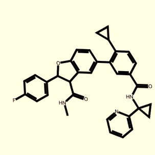 CNC(=O)C1c2cc(-c3cc(C(=O)NC4(c5ccccn5)CC4)ccc3C3CC3)ccc2OC1c1ccc(F)cc1